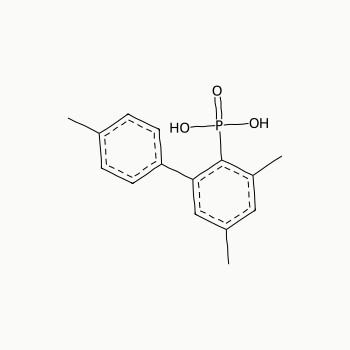 Cc1ccc(-c2cc(C)cc(C)c2P(=O)(O)O)cc1